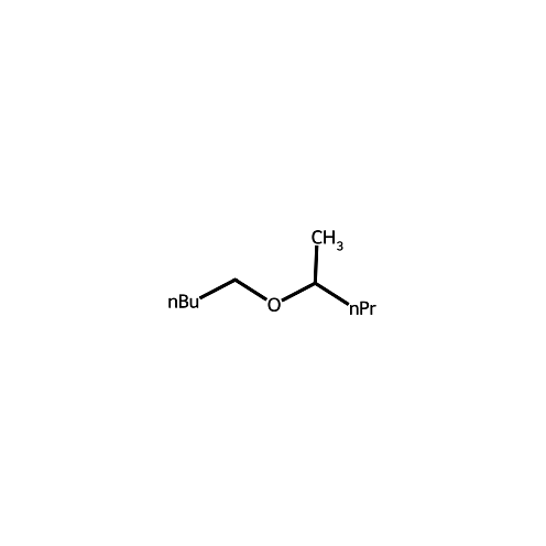 CCCCCOC(C)CCC